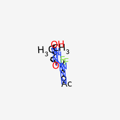 CC(=O)N1CCC(N2CC(n3cc(NC(=O)c4cccc(-c5cnn(C(C)(C)CO)c5)n4)c(C(F)F)n3)C2)CC1